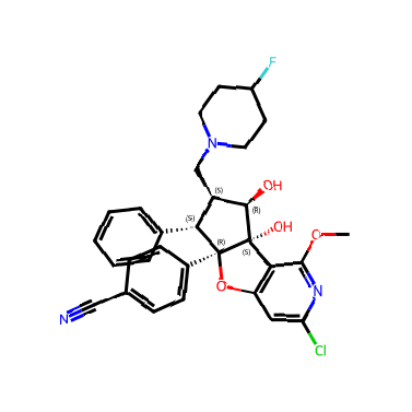 COc1nc(Cl)cc2c1[C@]1(O)[C@H](O)[C@H](CN3CCC(F)CC3)[C@@H](c3ccccc3)[C@]1(c1ccc(C#N)cc1)O2